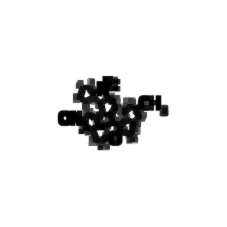 CCn1c2ccccc2c2cc(C3c4c(ccc5cc(C)ccc45)Oc4ccc5cc(N=O)ccc5c43)ccc21